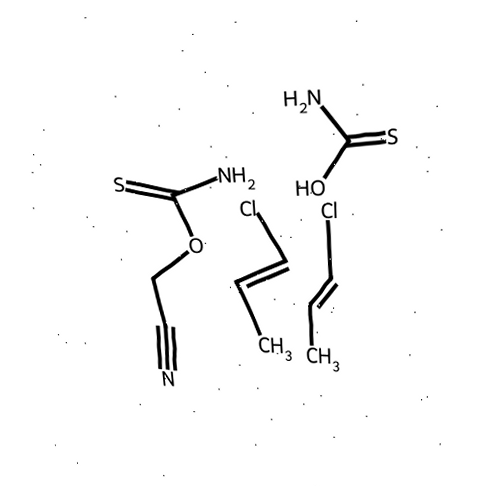 CC=CCl.CC=CCl.N#CCOC(N)=S.NC(O)=S